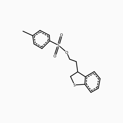 Cc1ccc(S(=O)(=O)OCCC2CSc3ccccc32)cc1